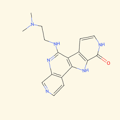 CN(C)CCNc1nc2cnccc2c2[nH]c3c(=O)[nH]ccc3c12